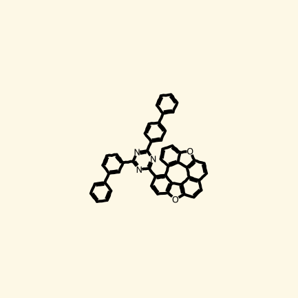 c1ccc(-c2ccc(-c3nc(-c4cccc(-c5ccccc5)c4)nc(-c4ccc5oc6ccc7ccc8oc9cccc%10c9c8c7c6c5c4-%10)n3)cc2)cc1